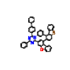 c1ccc(-c2ccc(-c3nc(-c4ccccc4)nc(-c4cc(-c5ccc6sc7ccccc7c6c5-c5ccccc5)c5c(c4)oc4ccccc45)n3)cc2)cc1